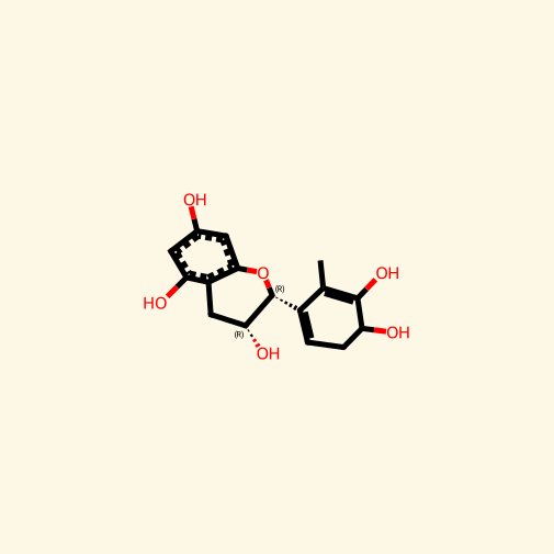 CC1=C(O)C(O)CC=C1[C@H]1Oc2cc(O)cc(O)c2C[C@H]1O